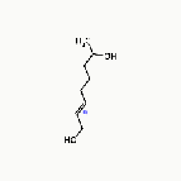 CC(O)CCC/C=C/CO